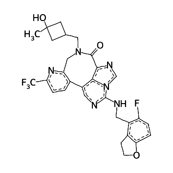 CC1(O)CC(CN2Cc3nc(C(F)(F)F)ccc3-c3cnc(NCc4c(F)ccc5c4CCO5)n4cnc(c34)C2=O)C1